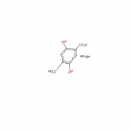 O=C(O)c1cc(O)c(C(=O)O)cc1O.[KH].[KH]